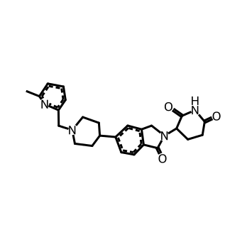 Cc1cccc(CN2CCC(c3ccc4c(c3)CN(C3CCC(=O)NC3=O)C4=O)CC2)n1